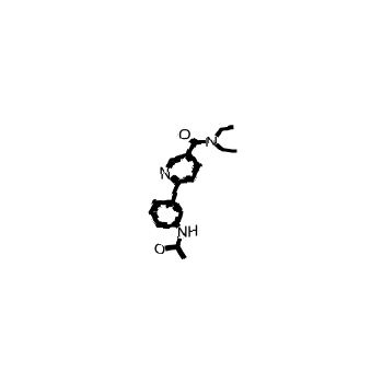 CCN(CC)C(=O)c1ccc(-c2cccc(NC(C)=O)c2)nc1